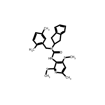 CSc1cc(C)nc(SC)c1NC(=O)N(Cc1cc(C)ccc1C)C1Cc2ccccc2C1